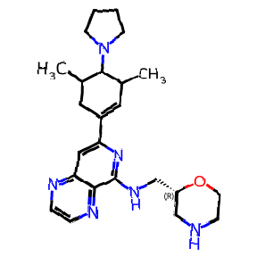 CC1C=C(c2cc3nccnc3c(NC[C@H]3CNCCO3)n2)CC(C)C1N1CCCC1